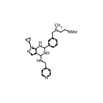 CNCCN(C)Cc1cccc(C2Nc3c(cnn3C3CC3)C(NCc3ccncc3)N2)c1